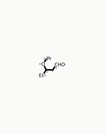 CCC(C[C]=O)OC(C)C